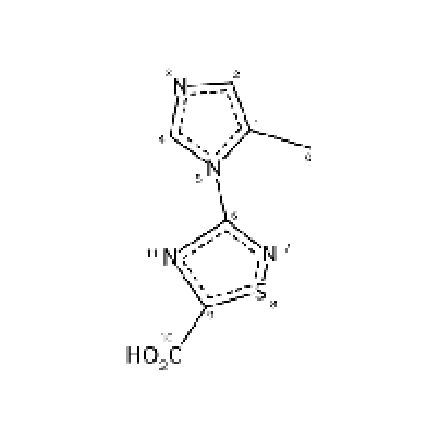 Cc1cncn1-c1nsc(C(=O)O)n1